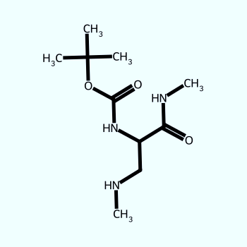 CNCC(NC(=O)OC(C)(C)C)C(=O)NC